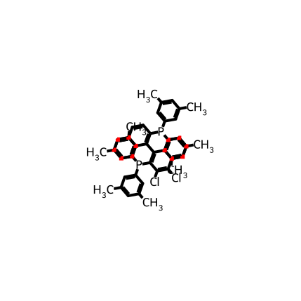 Cc1cc(C)cc(P(c2cc(C)cc(C)c2)c2ccc3ccccc3c2-c2c(P(c3cc(C)cc(C)c3)c3cc(C)cc(C)c3)c(Cl)c(Cl)c3ccccc23)c1